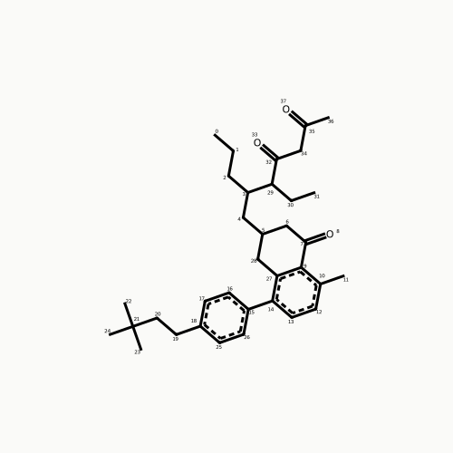 CCCC(CC1CC(=O)c2c(C)ccc(-c3ccc(CCC(C)(C)C)cc3)c2C1)C(CC)C(=O)CC(C)=O